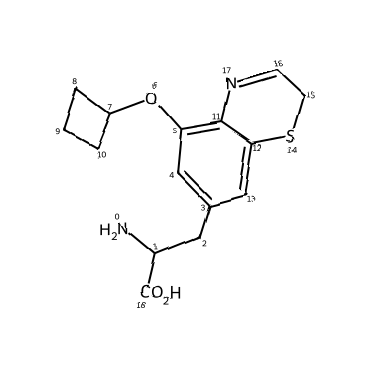 NC(Cc1cc(OC2CCC2)c2c(c1)SCC=N2)C(=O)O